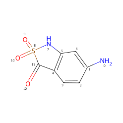 Nc1ccc2c(c1)NS(=O)(=O)C2=O